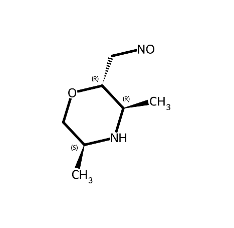 C[C@H]1CO[C@H](CN=O)[C@@H](C)N1